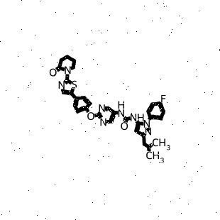 CC(C)Cc1cc(NC(=O)Nc2cnc(Oc3ccc(-c4cnc(N5CCCCC5=O)s4)cc3)nc2)n(-c2ccc(F)cc2)n1